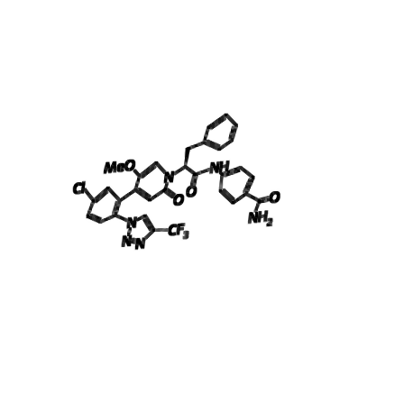 COc1cn([C@@H](Cc2ccccc2)C(=O)Nc2ccc(C(N)=O)cc2)c(=O)cc1-c1cc(Cl)ccc1-n1cc(C(F)(F)F)nn1